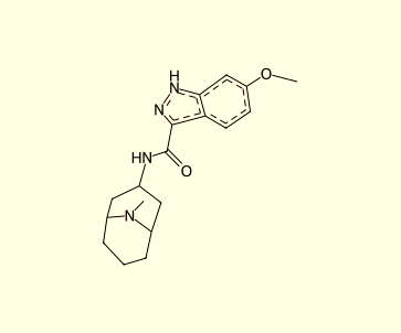 COc1ccc2c(C(=O)NC3CC4CCCC(C3)N4C)n[nH]c2c1